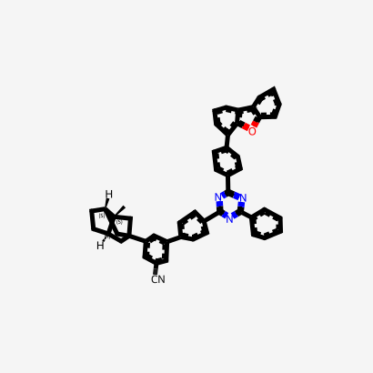 C[C@@]12CC3(c4cc(C#N)cc(-c5ccc(-c6nc(-c7ccccc7)nc(-c7ccc(-c8cccc9c8oc8ccccc89)cc7)n6)cc5)c4)C[C@H]1CC[C@H]2C3